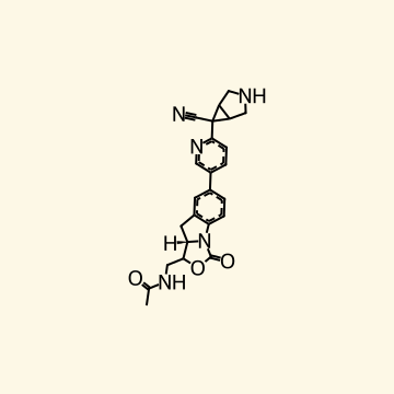 CC(=O)NCC1OC(=O)N2c3ccc(-c4ccc(C5(C#N)C6CNCC65)nc4)cc3C[C@@H]12